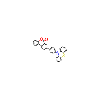 O=c1oc2ccccc2c2ccc(-c3ccc(N4c5ccccc5Sc5ccccc54)cc3)cc12